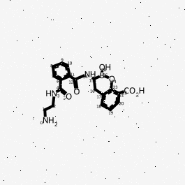 NCCNC(=O)c1ccccc1C(=O)NC1Cc2cccc(C(=O)O)c2OB1O